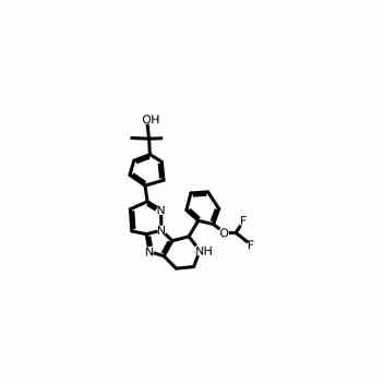 CC(C)(O)c1ccc(-c2ccc3nc4c(n3n2)C(c2ccccc2OC(F)F)NCC4)cc1